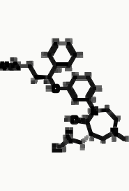 CCNC[C@H]1CN(C)CCN(c2cccc(O[C@@H](CCNC)c3ccccc3)c2)C1=O